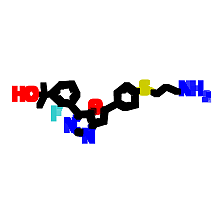 CC(C)(O)c1cccc(-c2ncnc3cc(-c4ccc(SCCCN)cc4)oc23)c1F